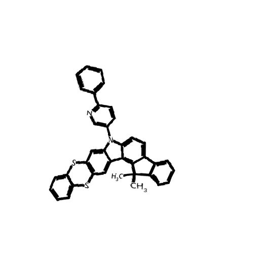 CC1(C)c2ccccc2-c2ccc3c(c21)c1cc2c(cc1n3-c1ccc(-c3ccccc3)nc1)Sc1ccccc1S2